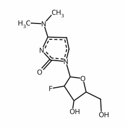 CN(C)c1ccn(C2OC(CO)C(O)C2F)c(=O)n1